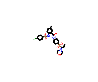 C=CC(N1CCOCC1)S(=O)(=O)c1ccc(NC(=O)c2cc(C)ccc2NS(=O)(=O)c2ccc(Cl)cc2)cc1